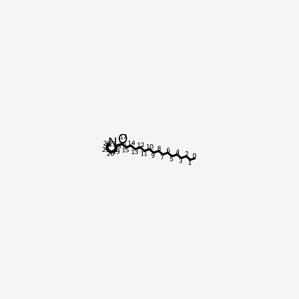 CCCCCCCCCCCCCCCCC(=O)c1ccccn1